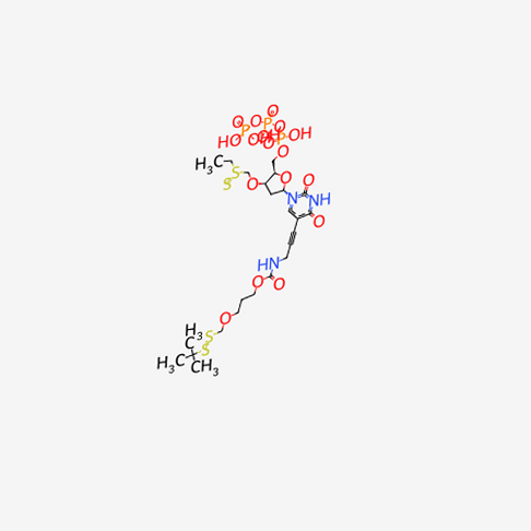 CCS(=S)CO[C@@H]1C[C@H](n2cc(C#CCNC(=O)OCCCOCSSC(C)(C)C)c(=O)[nH]c2=O)O[C@@H]1COP(=O)(O)OP(=O)(O)OP(=O)(O)O